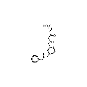 O=C(O)CCC(=O)CNCc1cccc(CNCc2ccccc2)c1